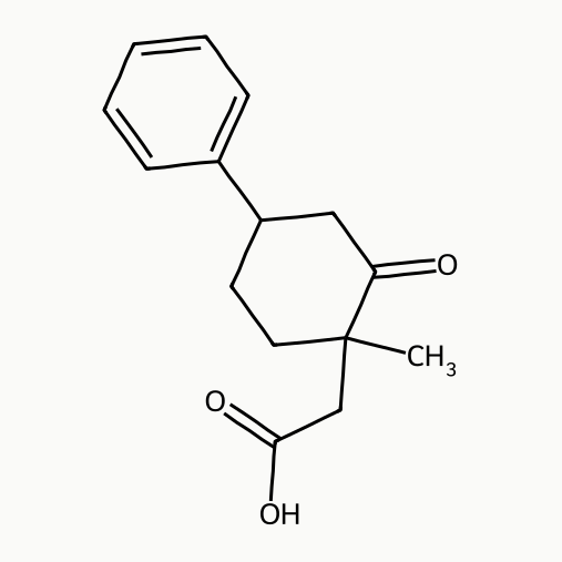 CC1(CC(=O)O)CCC(c2ccccc2)CC1=O